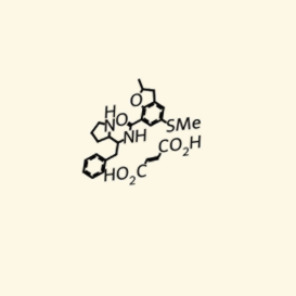 CSc1cc2c(c(C(=O)NC(Cc3ccccc3)C3CCCN3)c1)OC(C)C2.O=C(O)C=CC(=O)O